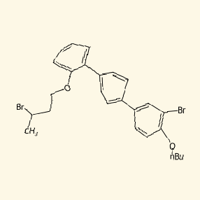 CCCCOc1ccc(-c2ccc(-c3ccccc3OCCC(C)Br)cc2)cc1Br